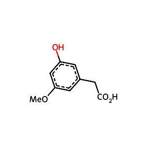 COc1cc(O)cc(CC(=O)O)c1